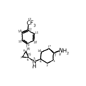 NC1CCC(N[C@H]2C[C@@H]2c2ccc(C(F)(F)F)cc2)CC1